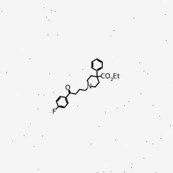 CCOC(=O)C1(c2ccccc2)CCN(CCCC(=O)c2ccc(F)cc2)CC1